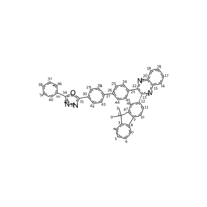 CC1(C)c2ccccc2-c2ccc(-c3nc4ccccc4nc3-c3ccc(-c4ccc(-c5nnc(-c6ccccc6)o5)cc4)cc3)cc21